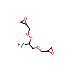 CC(COCC1CO1)OOCC1CO1